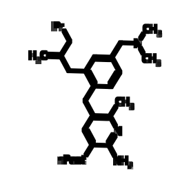 C=C(Cc1cc(CN(C)C)ccc1Cc1cc(CCCCC)c(N)nc1C)CC(C)C